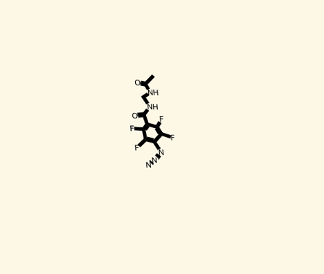 CC(=O)NCNC(=O)c1c(F)c(F)c(N=[N+]=[N-])c(F)c1F